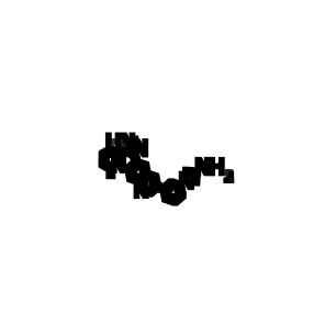 Cc1cccc(-c2[nH]cnc2-c2ccc3ncc(-c4cccc(N5CC(N)C5)c4)cc3c2)n1